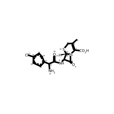 CC1=C(C(=O)O)N2C(=O)C(NC(=O)C(N)c3ccc(Cl)cc3)[C@@H]2SC1